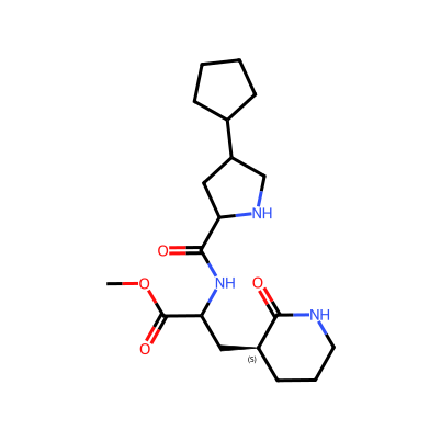 COC(=O)C(C[C@@H]1CCCNC1=O)NC(=O)C1CC(C2CCCC2)CN1